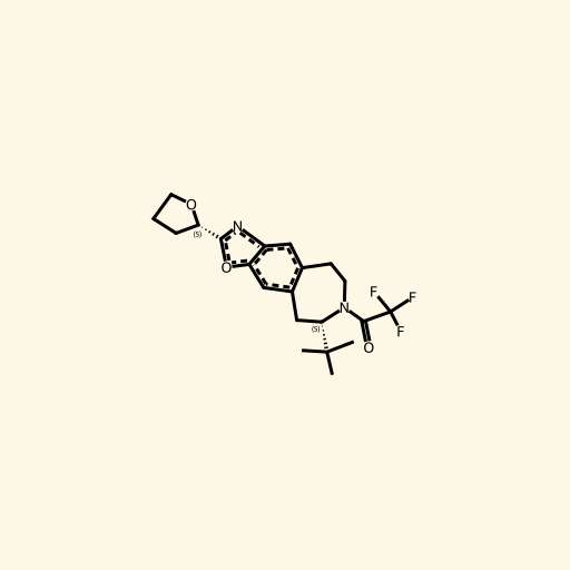 CC(C)(C)[C@@H]1Cc2cc3oc([C@@H]4CCCO4)nc3cc2CCN1C(=O)C(F)(F)F